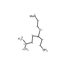 CNCCOC(CCN)CCN(C)C